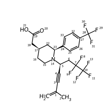 C=C(C)C#C[C@H](CC(F)(F)C(F)(F)F)N1CC[C@@H](CC(=O)O)C[C@H]1c1ccc(C(F)(F)F)cc1